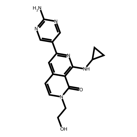 Nc1ncc(-c2cc3ccn(CCO)c(=O)c3c(NC3CC3)n2)cn1